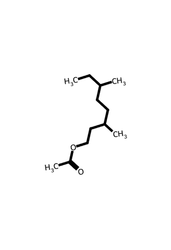 CCC(C)CCC(C)CCOC(C)=O